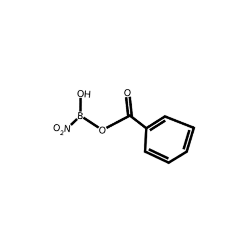 O=C(OB(O)[N+](=O)[O-])c1ccccc1